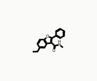 CCc1ccc2oc(-c3ccccc3)c(C(=O)NC)c2c1